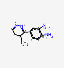 CC1CC=NN=C1c1ccc(N)c(N)c1